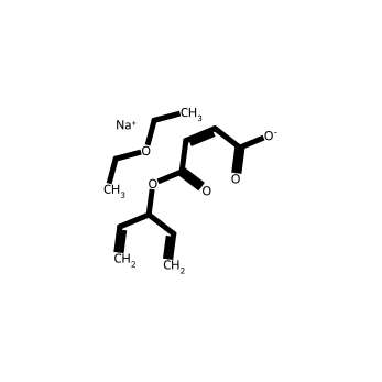 C=CC(C=C)OC(=O)/C=C\C(=O)[O-].CCOCC.[Na+]